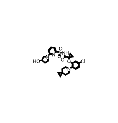 O=C(NS(=O)(=O)c1cccc(N2CC[C@@H](O)C2)n1)C1(Oc2cc(Cl)ccc2N2CCC3(CC2)CC3)CC1